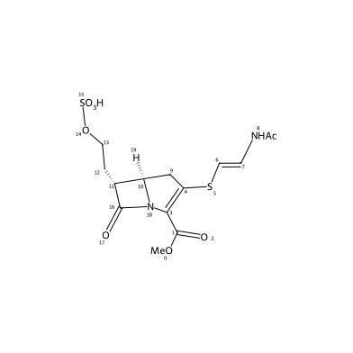 COC(=O)C1=C(S/C=C/NC(C)=O)C[C@@H]2[C@@H](CCOS(=O)(=O)O)C(=O)N12